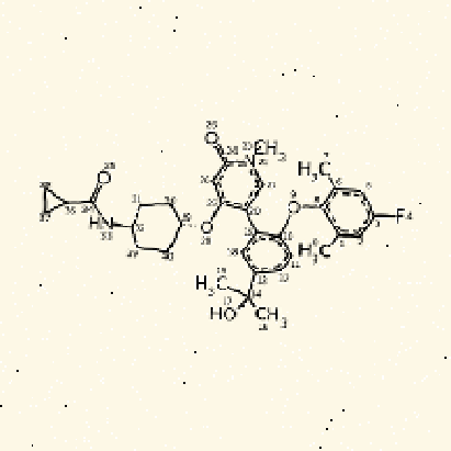 Cc1cc(F)cc(C)c1Oc1ccc(C(C)(C)O)cc1-c1cn(C)c(=O)cc1O[C@H]1CC[C@H](NC(=O)C2CC2)CC1